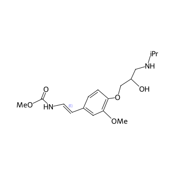 COC(=O)N/C=C/c1ccc(OCC(O)CNC(C)C)c(OC)c1